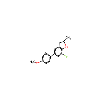 COc1ccc(-c2cc(F)c3c(c2)CC(C)O3)cc1